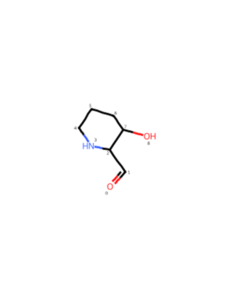 O=CC1NCCCC1O